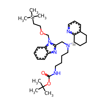 CC(C)(C)OC(=O)NCCCCN(Cc1nc2ccccc2n1COCC[Si](C)(C)C)[C@H]1CCCc2cccnc21